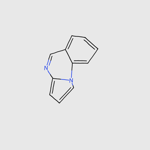 c1ccc2c(c1)cnc1cccn12